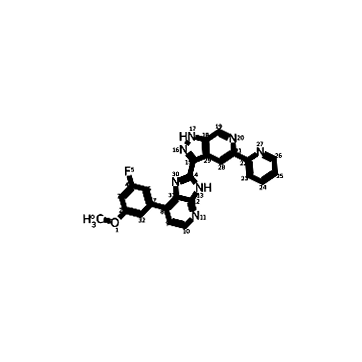 COc1cc(F)cc(-c2ccnc3[nH]c(-c4n[nH]c5cnc(-c6ccccn6)cc45)nc23)c1